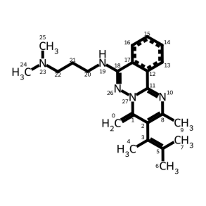 C=C1C(C(C)=C(C)C)=C(C)N=C2c3ccccc3C(NCCCN(C)C)=NN12